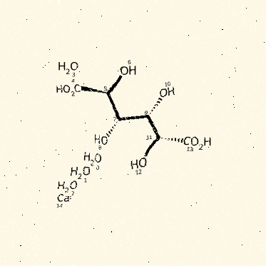 O.O.O.O.O=C(O)[C@@H](O)[C@@H](O)[C@H](O)[C@@H](O)C(=O)O.[Ca]